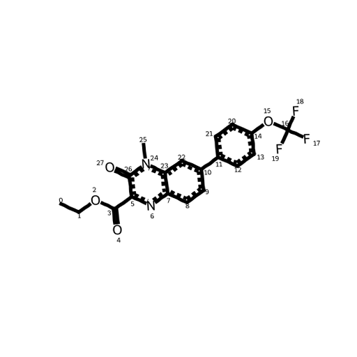 CCOC(=O)c1nc2ccc(-c3ccc(OC(F)(F)F)cc3)cc2n(C)c1=O